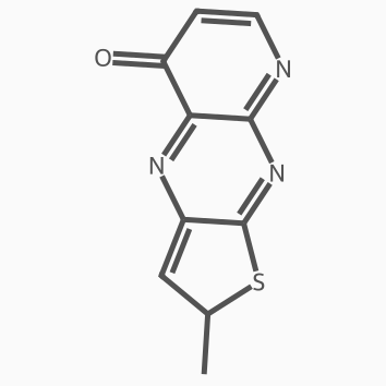 CC1C=c2nc3c(nc2S1)=NC=CC3=O